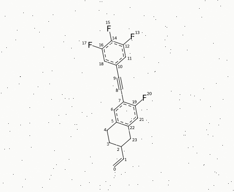 C=CC1CCc2cc(C#Cc3cc(F)c(F)c(F)c3)c(F)cc2C1